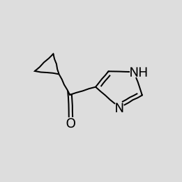 O=C(c1c[nH]cn1)C1CC1